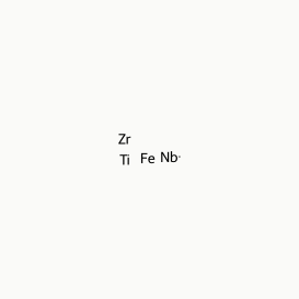 [Fe].[Nb].[Ti].[Zr]